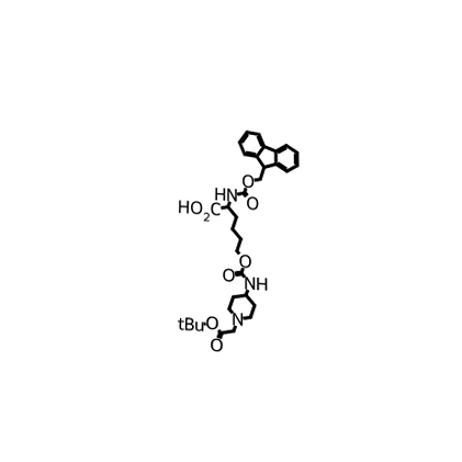 CC(C)(C)OC(=O)CN1CCC(NC(=O)OCCCCC(NC(=O)OCC2c3ccccc3-c3ccccc32)C(=O)O)CC1